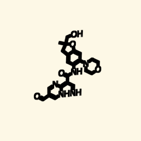 CC1(CO)Cc2cc(NC(=O)/C(C=N)=C3\N=CC(C=O)=CN3)c(N3CCOCC3)cc2O1